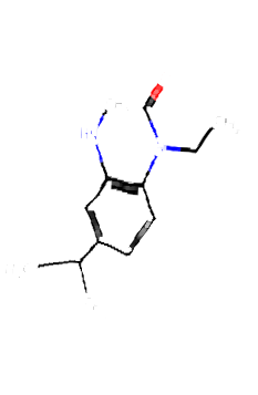 CCN(C=O)c1ccc(C(C)C)cc1NC